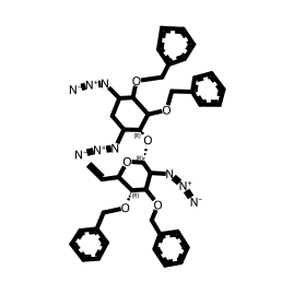 C=CC1O[C@H](O[C@@H]2C(N=[N+]=[N-])CC(N=[N+]=[N-])C(OCc3ccccc3)C2OCc2ccccc2)C(N=[N+]=[N-])C(OCc2ccccc2)[C@@H]1OCc1ccccc1